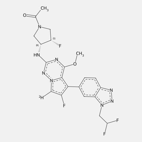 [2H]c1c(F)c(-c2ccc3nnn(CC(F)F)c3c2)c2c(OC)nc(N[C@@H]3CN(C(C)=O)C[C@@H]3F)nn12